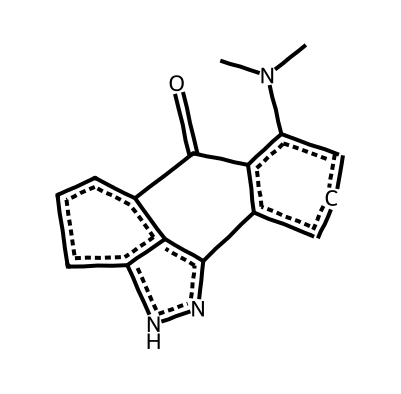 CN(C)c1cccc2c1C(=O)c1cccc3[nH]nc-2c13